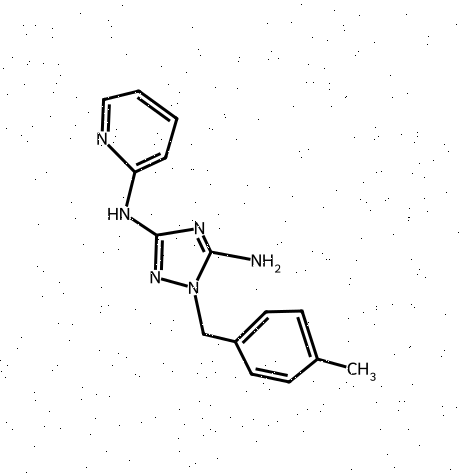 Cc1ccc(Cn2nc(Nc3ccccn3)nc2N)cc1